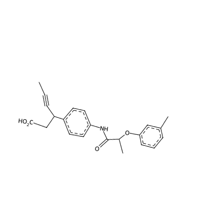 CC#CC(CC(=O)O)c1ccc(NC(=O)C(C)Oc2cccc(C)c2)cc1